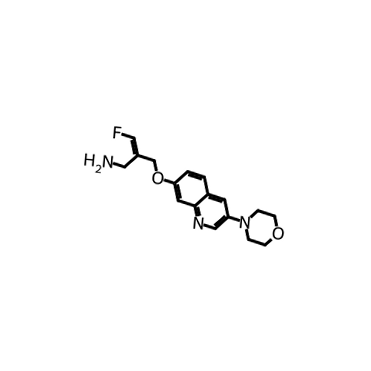 NC/C(=C\F)COc1ccc2cc(N3CCOCC3)cnc2c1